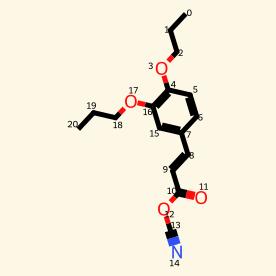 CCCOc1ccc(C=CC(=O)OC#N)cc1OCCC